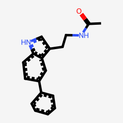 CC(=O)NCCc1c[nH]c2ccc(-c3ccccc3)cc12